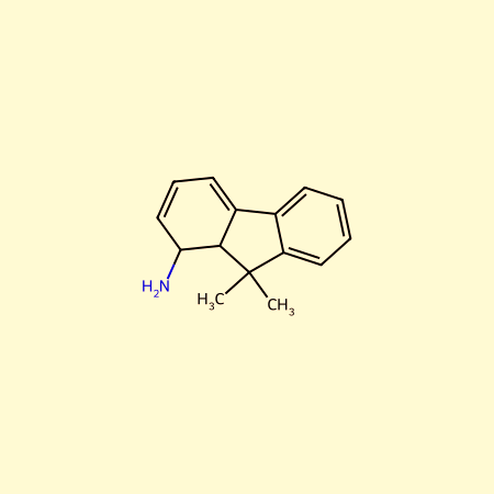 CC1(C)c2ccccc2C2=CC=CC(N)C21